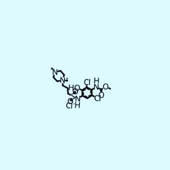 COC(=O)Nc1c(Cl)cc(NS(=O)(=O)CCC[N+]2(C)CCN(C)CC2)c(O)c1Cl.[Cl-]